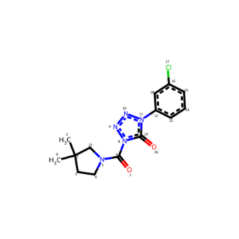 CC1(C)CCN(C(=O)n2nnn(-c3cccc(Cl)c3)c2=O)C1